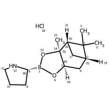 CC1(C)[C@@H]2C[C@H]3OB([C@@H]4CCCN4)O[C@@]3(C)[C@H]1C2.Cl